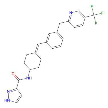 O=C(NC1CCC(=Cc2cccc(Cc3ccc(C(F)(F)F)cn3)c2)CC1)c1cc[nH]n1